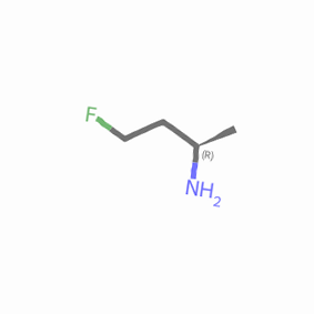 C[C@@H](N)CCF